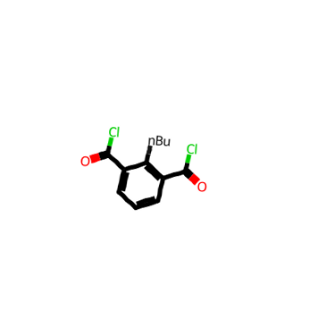 CCCCc1c(C(=O)Cl)cccc1C(=O)Cl